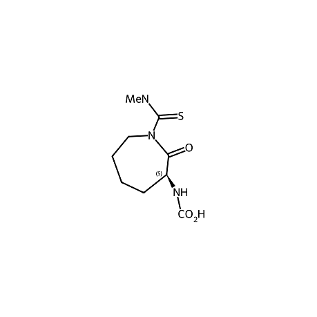 CNC(=S)N1CCCC[C@H](NC(=O)O)C1=O